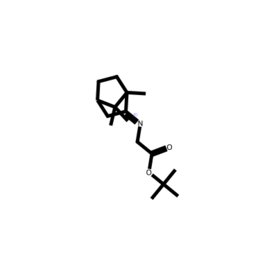 CC(C)(C)OC(=O)C/N=C1\CC2CCC1(C)C2(C)C